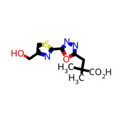 CC(C)(Cc1nnc(-c2nc(CO)cs2)o1)C(=O)O